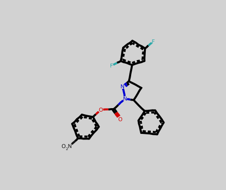 O=C(Oc1ccc([N+](=O)[O-])cc1)N1N=C(c2cc(F)ccc2F)CC1c1ccccc1